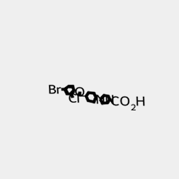 O=C(O)N1CCN([C@H]2CC[C@H](COc3ccc(Br)cc3Cl)CC2)CC1